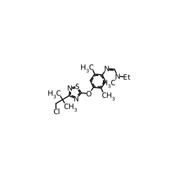 CCN(C)/C=N\c1cc(C)c(Oc2nc(C(C)(C)CCl)ns2)cc1C